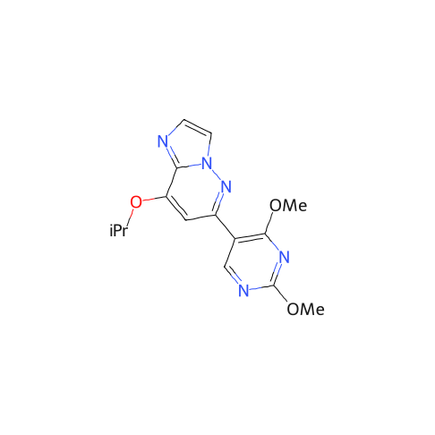 COc1ncc(-c2cc(OC(C)C)c3nccn3n2)c(OC)n1